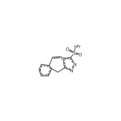 CCCS(=O)(=O)c1nnc2n1C=Cc1ccccc1C2